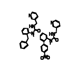 CN(C(=O)NCc1cccnc1)c1ccccc1-c1ccc([N+](=O)[O-])cc1.CN(C(=O)NCc1cccnc1)c1ccccc1Cc1ccccc1